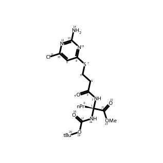 CCC[C@](NC(=O)CCSc1cc(Cl)nc(N)n1)(NC(=O)OC(C)(C)C)C(=O)OC